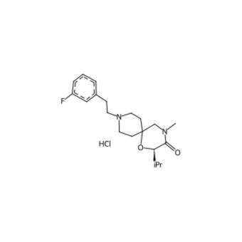 CC(C)[C@H]1OC2(CCN(CCc3cccc(F)c3)CC2)CN(C)C1=O.Cl